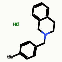 CC(C)(C)c1ccc(CN2CCc3ccccc3C2)cc1.Cl